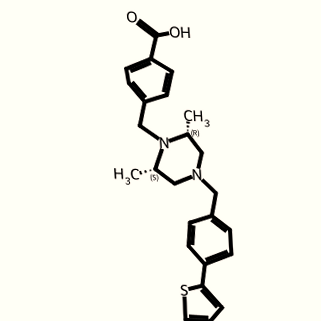 C[C@@H]1CN(Cc2ccc(-c3cccs3)cc2)C[C@H](C)N1Cc1ccc(C(=O)O)cc1